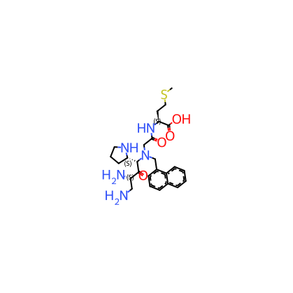 CSCC[C@H](NC(=O)CN(Cc1cccc2ccccc12)C(C(=O)[C@@H](N)CN)[C@@H]1CCCN1)C(=O)O